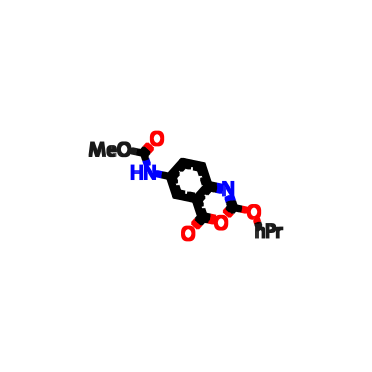 CCCOc1nc2ccc(NC(=O)OC)cc2c(=O)o1